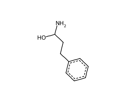 NC(O)CCc1ccccc1